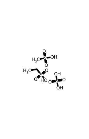 CCS(=O)(=O)O.CS(=O)(=O)O.O=S(=O)(O)O